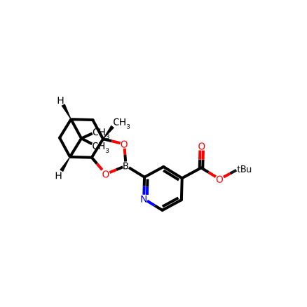 CC(C)(C)OC(=O)c1ccnc(B2OC3[C@@H]4C[C@H](C[C@]3(C)O2)C4(C)C)c1